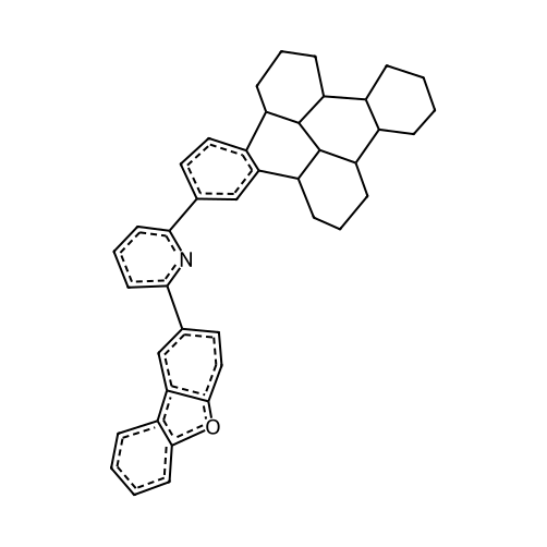 c1cc(-c2ccc3c(c2)C2CCCC4C5CCCCC5C5CCCC3C5C24)nc(-c2ccc3oc4ccccc4c3c2)c1